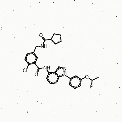 O=C(Nc1cccc2c1cnn2-c1cccc(OC(F)F)c1)c1cc(CNC(=O)C2CCCC2)ccc1Cl